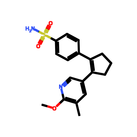 COc1ncc(C2=C(c3ccc(S(N)(=O)=O)cc3)CCC2)cc1C